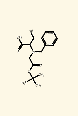 CC(C)(C)OC(=O)CN(Cc1ccccc1)C(CS)C(=O)O